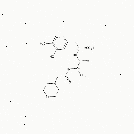 Cc1ccc(C[C@H](NC(=O)[C@H](C)NC(=O)CN2CCOCC2)C(=O)O)cc1O